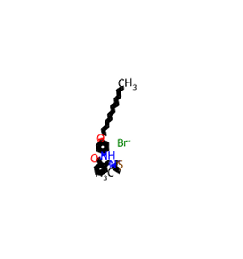 CCCCCCCCCCCCCCOc1ccc(NC(=O)c2ccccc2C[n+]2cscc2C)cc1.[Br-]